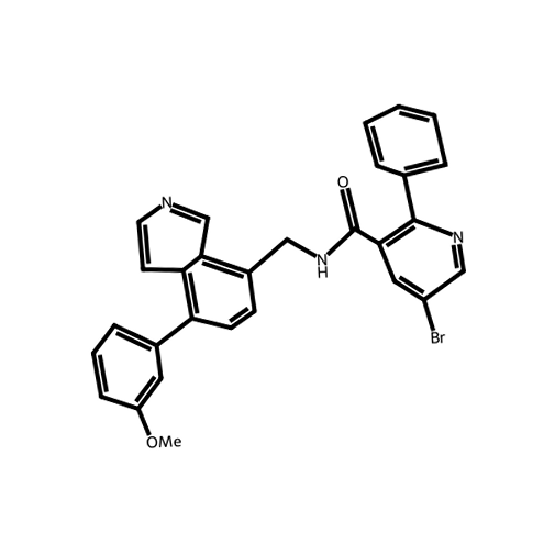 COc1cccc(-c2ccc(CNC(=O)c3cc(Br)cnc3-c3ccccc3)c3cnccc23)c1